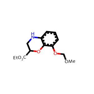 CCOC(=O)C1CNc2cccc(OCOC)c2O1